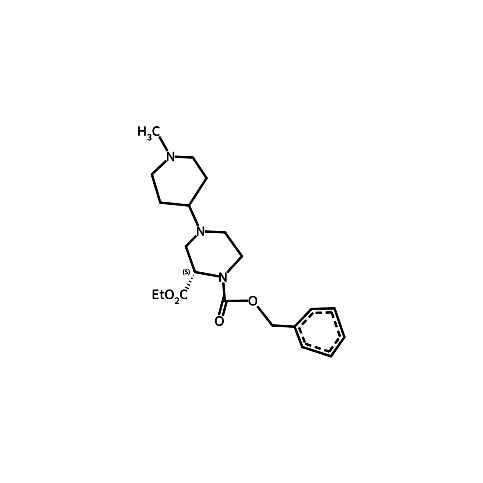 CCOC(=O)[C@@H]1CN(C2CCN(C)CC2)CCN1C(=O)OCc1ccccc1